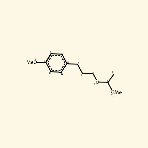 COc1ccc(CCCOC(C)OC)cc1